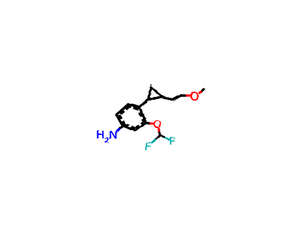 COCCC1[CH]C1c1ccc(N)cc1OC(F)F